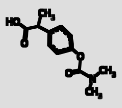 CC(C(=O)O)c1ccc(OC(=O)N(C)C)cc1